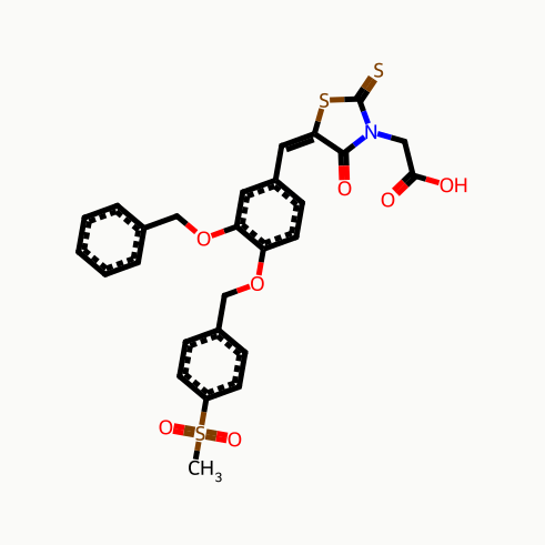 CS(=O)(=O)c1ccc(COc2ccc(C=C3SC(=S)N(CC(=O)O)C3=O)cc2OCc2ccccc2)cc1